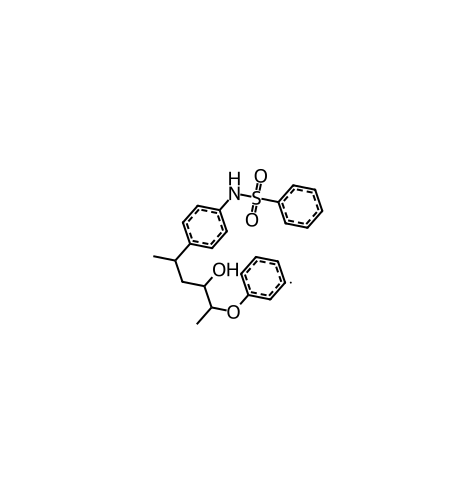 CC(CC(O)C(C)Oc1c[c]ccc1)c1ccc(NS(=O)(=O)c2ccccc2)cc1